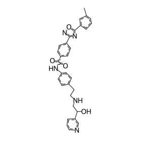 Cc1cccc(-c2nc(-c3ccc(S(=O)(=O)Nc4ccc(CCNCC(O)c5cccnc5)cc4)cc3)no2)c1